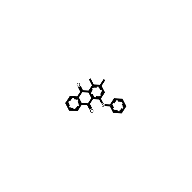 Cc1cc(Sc2ccccc2)c2c(c1C)C(=O)c1ccccc1C2=O